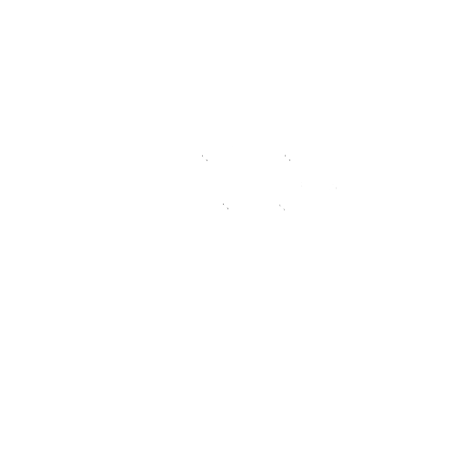 O=c1[nH]c2cnc(-c3ccccc3)nc2n1Cc1ccccc1